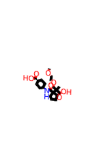 COCCOCC(C)(C(=O)O)C1(C(=O)N[C@H]2CC[C@@H](C(=O)O)CC2)CCCC1